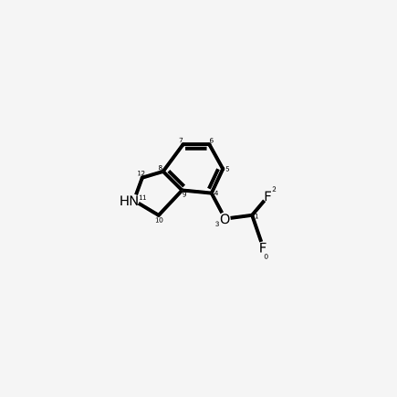 FC(F)Oc1cccc2c1CNC2